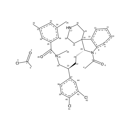 CC(=O)Cl.CC(=O)N1c2ccccc2C2(CCNCC2)[C@H]1CC[C@H](CN(C)C(=O)c1cc(C)cc(C)c1)c1ccc(Cl)c(Cl)c1